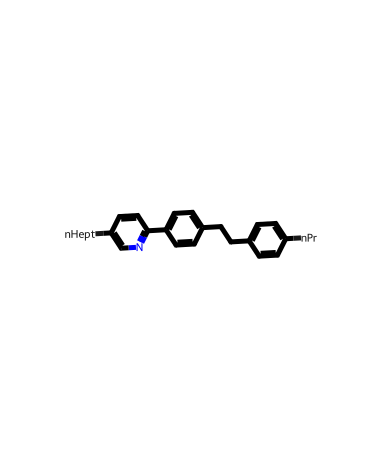 CCCCCCCc1ccc(-c2ccc(CCc3ccc(CCC)cc3)cc2)nc1